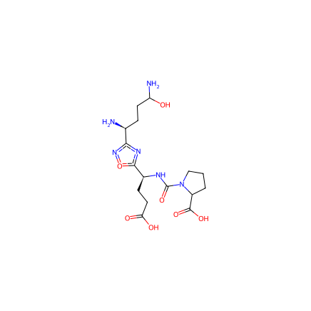 NC(O)CC[C@H](N)c1noc([C@H](CCC(=O)O)NC(=O)N2CCCC2C(=O)O)n1